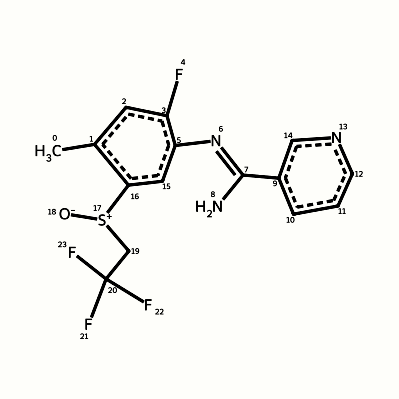 Cc1cc(F)c(/N=C(\N)c2cccnc2)cc1[S+]([O-])CC(F)(F)F